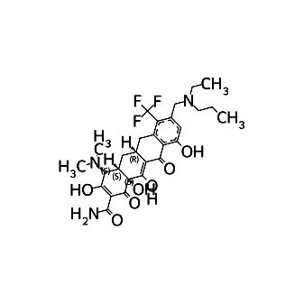 CCCN(CC)Cc1cc(O)c2c(c1C(F)(F)F)C[C@H]1C[C@H]3[C@H](N(C)C)C(O)=C(C(N)=O)C(=O)[C@@]3(O)C(O)=C1C2=O